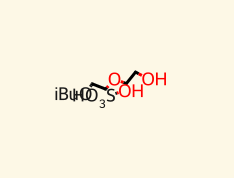 CC(C)COCCOCCO.O=S(=O)(O)O